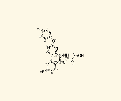 Cc1ccc(Oc2nccc(-c3[nH]c(C(C)CO)nc3-c3ccc(F)cc3)n2)cc1